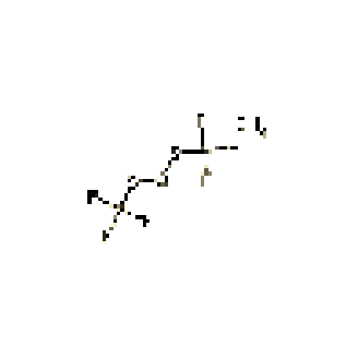 C.FC(F)(F)SOSC(F)(F)F